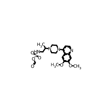 COc1cc2nccc(N3CCN(C(C)CNS(=O)(=O)OC=O)CC3)c2cc1OC